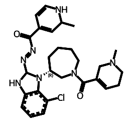 CC1C=C(C(=O)N=NC2Nc3cccc(Cl)c3N2[C@@H]2CCCCN(C(=O)C3=CCCN(C)C3)C2)C=CN1